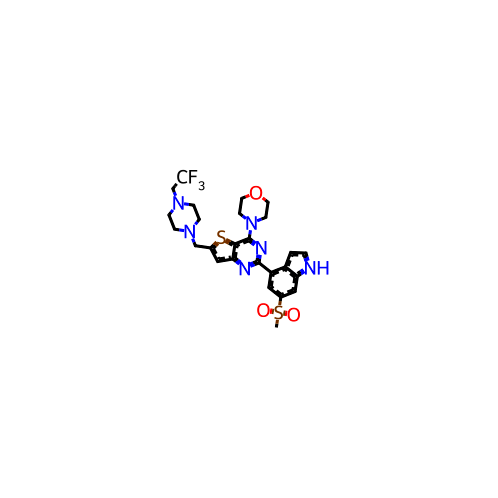 CS(=O)(=O)c1cc(-c2nc(N3CCOCC3)c3sc(CN4CCN(CC(F)(F)F)CC4)cc3n2)c2cc[nH]c2c1